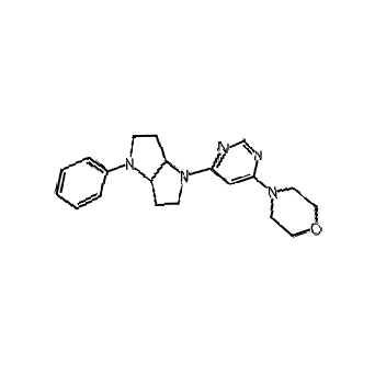 c1ccc(N2CCC3C2CCN3c2cc(N3CCOCC3)ncn2)cc1